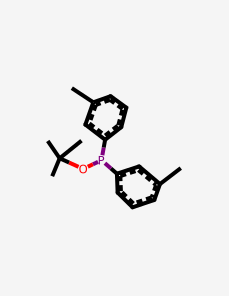 Cc1cccc(P(OC(C)(C)C)c2cccc(C)c2)c1